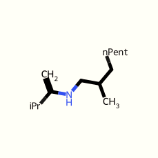 C=C(NCC(C)CCCCCC)C(C)C